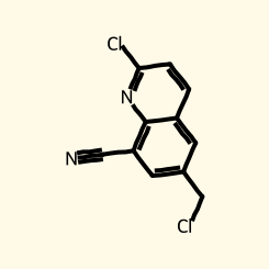 N#Cc1cc(CCl)cc2ccc(Cl)nc12